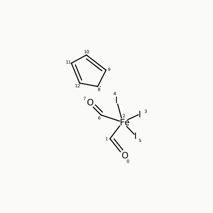 O=[CH][Fe]([I])([I])([I])[CH]=O.[CH]1C=CC=C1